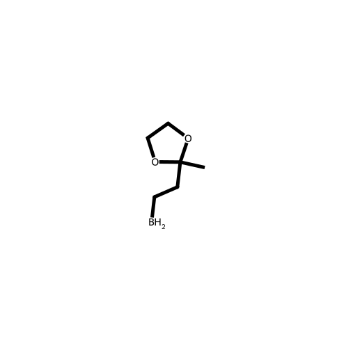 BCCC1(C)OCCO1